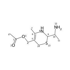 CC(=O)OCC1=C(C)NC(C(C)N)SC1